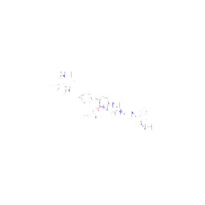 CC(C)(N)C(=O)N1CCN(C(=O)Nc2ccn(-c3ccc(CCN4CC5CC5(CN)C4)cc3)c(=O)n2)CC1.Cl